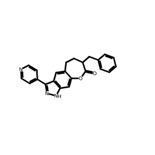 O=C1Oc2cc3[nH]nc(-c4ccncc4)c3cc2CCC1Cc1ccccc1